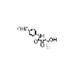 CN(CCO)C(=O)Nc1ccc(C=O)cc1